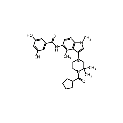 Cc1c(NC(=O)c2cc(O)cc(C#N)c2)cnc2c1c([C@@H]1CCN(C(=O)C3CCCC3)C(C)(C)C1)cn2C